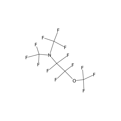 FC(F)(F)OC(F)(F)C(F)(F)N(C(F)(F)F)C(F)(F)F